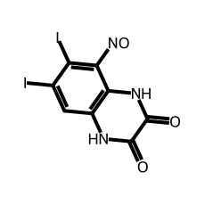 O=Nc1c(I)c(I)cc2[nH]c(=O)c(=O)[nH]c12